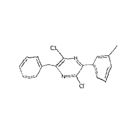 Cc1cccc(-c2nc(Cl)c(-c3ccccc3)nc2Cl)c1